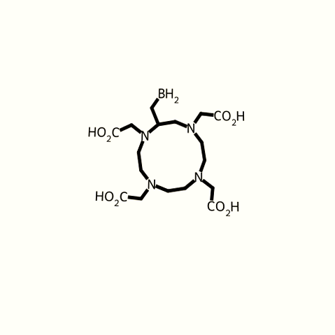 BCC1CN(CC(=O)O)CCN(CC(=O)O)CCN(CC(=O)O)CCN1CC(=O)O